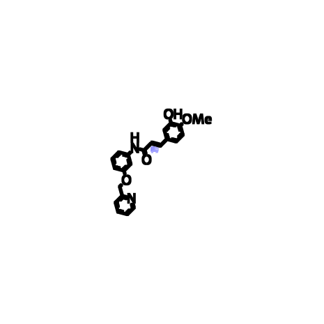 COc1ccc(/C=C/C(=O)Nc2cccc(OCc3ccccn3)c2)cc1O